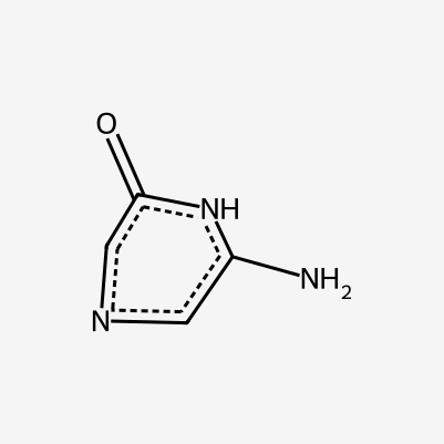 Nc1cncc(=O)[nH]1